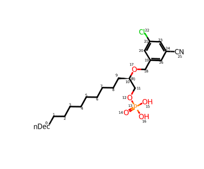 CCCCCCCCCCCCCCCCCCC[C@H](COP(=O)(O)O)OCc1cc(Cl)cc(C#N)c1